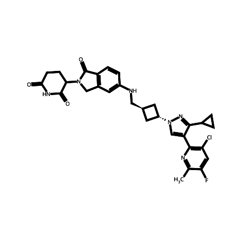 Cc1nc(-c2cn([C@H]3C[C@H](CNc4ccc5c(c4)CN(C4CCC(=O)NC4=O)C5=O)C3)nc2C2CC2)c(Cl)cc1F